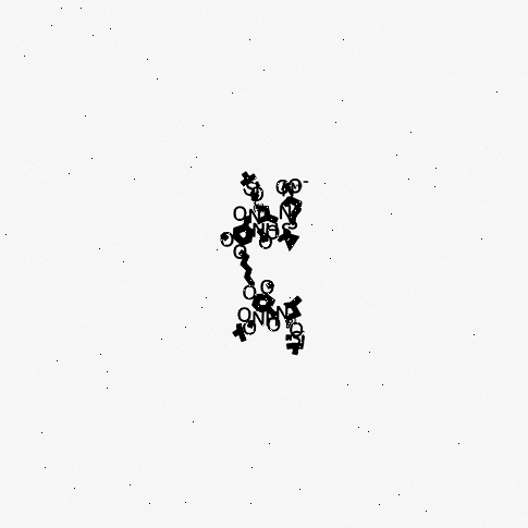 C=C1C[C@@H](CO[Si](C)(C)C(C)(C)C)N(C(=O)c2cc(OC)c(OCCCCCOc3cc(NC(=O)OC(C)(C)C)c(C(=O)N4CC(=C)C[C@H]4CO[Si](C)(C)C(C)(C)C)cc3OC)cc2NC(=O)OCC2(SSc3ccc([N+](=O)[O-])cn3)CC2)C1